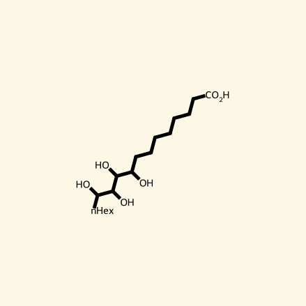 CCCCCCC(O)C(O)C(O)C(O)CCCCCCCC(=O)O